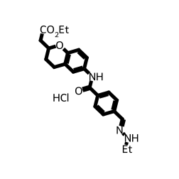 CCNN=Cc1ccc(C(=O)Nc2ccc3c(c2)CCC(CC(=O)OCC)O3)cc1.Cl